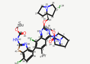 CC(C)c1cc2c(N3CC4CCC(C3)N4C(=O)OC(C)(C)C)nc(OC[C@@]34CCCN3C[C@H](F)C4)nc2c(F)c1-c1ccc(F)c2sc(NC(=O)OC(C)(C)C)nc12